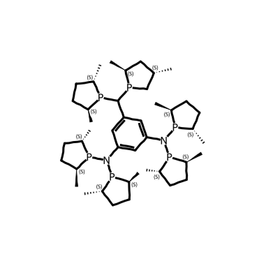 C[C@H]1C[C@H](C)P(C(c2cc(N(P3[C@@H](C)CC[C@@H]3C)P3[C@@H](C)CC[C@@H]3C)cc(N(P3[C@@H](C)CC[C@@H]3C)P3[C@@H](C)CC[C@@H]3C)c2)P2[C@@H](C)CC[C@@H]2C)C1